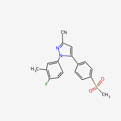 Cc1cc(-n2nc(C#N)cc2-c2ccc(S(C)(=O)=O)cc2)ccc1F